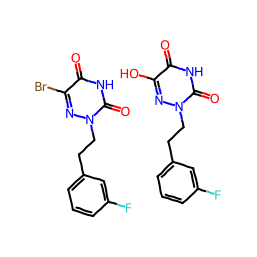 O=c1[nH]c(=O)n(CCc2cccc(F)c2)nc1Br.O=c1[nH]c(=O)n(CCc2cccc(F)c2)nc1O